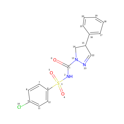 O=C(NS(=O)(=O)c1ccc(Cl)cc1)N1CC(c2ccccc2)C=N1